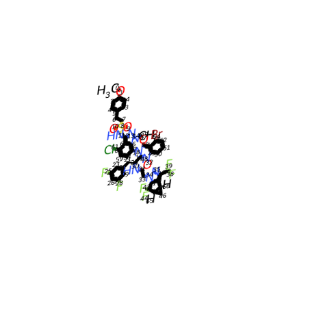 COc1ccc(CCS(=O)(=O)Nc2nn(C)c3c(-n4c([C@H](Cc5cc(F)cc(F)c5)NC(=O)Cn5nc(C(F)F)c6c5C(F)(F)[C@@H]5C[C@H]65)nc5cccc(Br)c5c4=O)ccc(Cl)c23)cc1